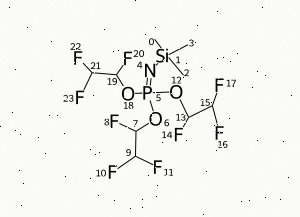 C[Si](C)(C)N=P(OC(F)C(F)F)(OC(F)C(F)F)OC(F)C(F)F